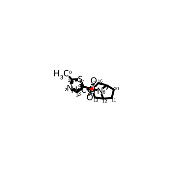 Cc1ncc(S(=O)(=O)N2C3CCC2CN(C)C3)s1